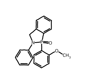 COc1ccccc1P1(=O)c2ccccc2CN1c1ccccc1